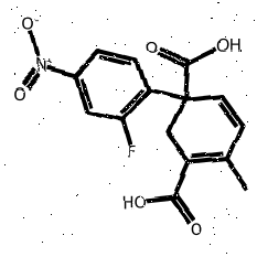 CC1=C(C(=O)O)CC(C(=O)O)(c2ccc([N+](=O)[O-])cc2F)C=C1